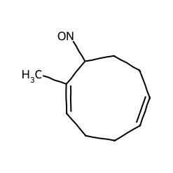 C/C1=C/CC/C=C\CCC1N=O